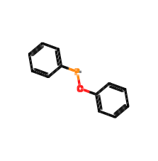 c1ccc(O[P]c2ccccc2)cc1